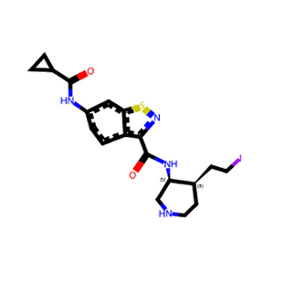 O=C(N[C@@H]1CNCC[C@@H]1CCI)c1nsc2cc(NC(=O)C3CC3)ccc12